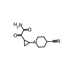 N#CC1CCN(C2CC2C(=O)C(N)=O)CC1